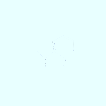 NN(I)c1ccccc1S